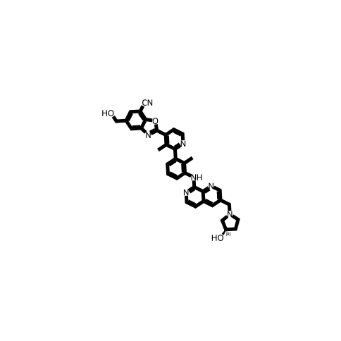 Cc1c(Nc2nccc3cc(CN4CC[C@@H](O)C4)cnc23)cccc1-c1nccc(-c2nc3cc(CO)cc(C#N)c3o2)c1C